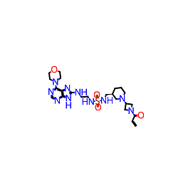 C=CC(=O)N1CC(N2CCC[C@H](CNS(=O)(=O)NCCNc3nc4c(N5CCOCC5)ncnc4[nH]3)C2)C1